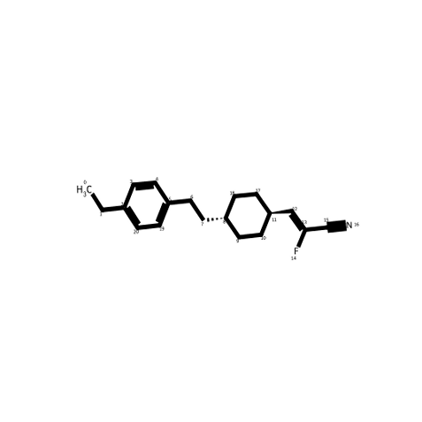 CCc1ccc(CC[C@H]2CC[C@H](C=C(F)C#N)CC2)cc1